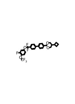 Fc1cc(OC(F)(F)c2ccc(-c3ccc(C4OCC(C5CCC5)CO4)cc3)cc2)ccc1OC(F)(F)F